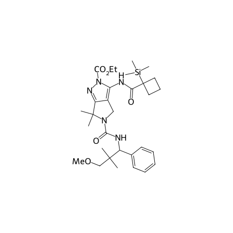 CCOC(=O)n1nc2c(c1NC(=O)C1([Si](C)(C)C)CCC1)CN(C(=O)NC(c1ccccc1)C(C)(C)COC)C2(C)C